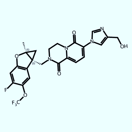 C[C@]12C[C@@]1(CN1CCn3c(ccc(-n4cnc(CO)c4)c3=O)C1=O)c1cc(OC(F)(F)F)c(F)cc1O2